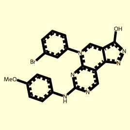 COc1ccc(Nc2ncc3c4nnc(O)c-4cn(-c4cccc(Br)c4)c3n2)cc1